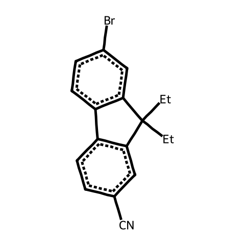 CCC1(CC)c2cc(Br)ccc2-c2ccc(C#N)cc21